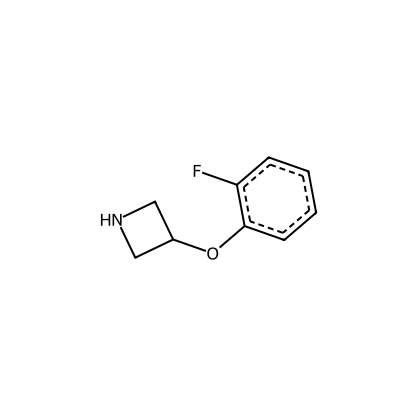 Fc1ccccc1OC1CNC1